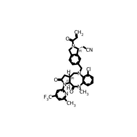 C=CC(=O)N1Cc2ccc(CN3C[C@H]4CC(=O)N(c5cc(C(F)(F)F)cc(C)n5)[C@@H]4C(=O)N(C)c4cccc(Cl)c43)cc2[C@H]1CC#N